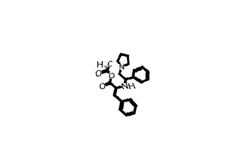 CC(=O)OC(=O)C(Cc1ccccc1)NC(CN1CCCC1)c1ccccc1